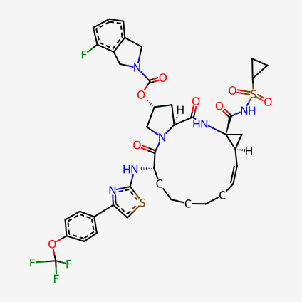 O=C1N[C@]2(C(=O)NS(=O)(=O)C3CC3)C[C@H]2/C=C\CCCCC[C@H](Nc2nc(-c3ccc(OC(F)(F)F)cc3)cs2)C(=O)N2C[C@H](OC(=O)N3Cc4cccc(F)c4C3)C[C@@H]12